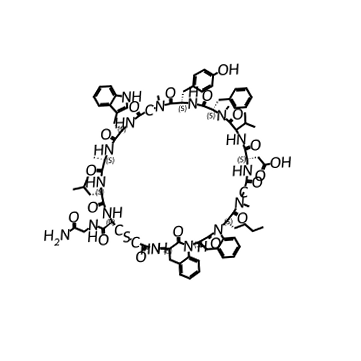 CCCC[C@H]1C(=O)N(C)CC(=O)N[C@@H](CC(=O)O)C(=O)NC(C(C)C)C(=O)N(C)[C@@H](Cc2ccccc2)C(=O)N[C@@H](Cc2ccc(O)cc2)C(=O)N(C)CC(=O)N[C@@H](Cc2c[nH]c3ccccc23)C(=O)N[C@@H](C)C(=O)N[C@@H](CC(C)C)C(=O)N[C@H](C(=O)NCC(N)=O)CSCC(=O)N[C@H]2Cc3ccccc3N(C2=O)[C@H]2Cc3ccccc3N1C2=O